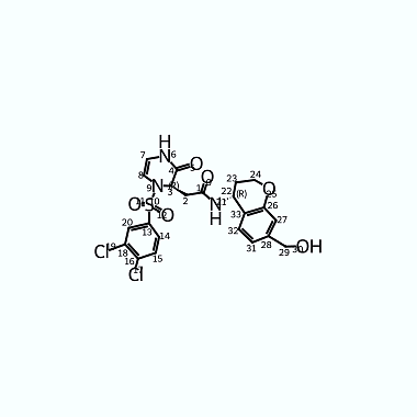 O=C(C[C@@H]1C(=O)NC=CN1S(=O)(=O)c1ccc(Cl)c(Cl)c1)N[C@@H]1CCOc2cc(CO)ccc21